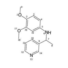 COc1ccc(NC(C)c2cccnc2)cc1OC